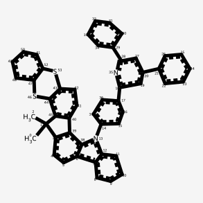 CC1(C)c2ccc3c4ccccc4n(-c4ccc(-c5cc(-c6ccccc6)cc(-c6ccccc6)n5)cc4)c3c2-c2ccc3c(c21)Sc1ccccc1S3